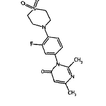 Cc1cc(=O)n(-c2ccc(N3CCS(=O)(=O)CC3)c(F)c2)c(C)n1